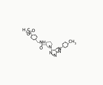 Cc1ccc(-n2cc3c(N4CCCC(C(=O)NCc5ccc(S(C)(=O)=O)cc5)C4)ncnc3n2)cc1